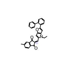 CCn1c(/C=C2/C(=O)c3ccc(C)cc3C2=O)cc2oc(-c3ccccc3-c3ccccc3)cc21